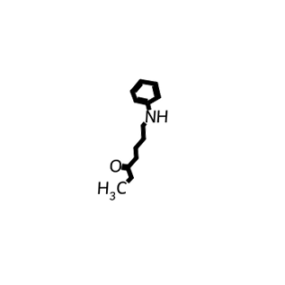 CCC(=O)CCCCNc1ccccc1